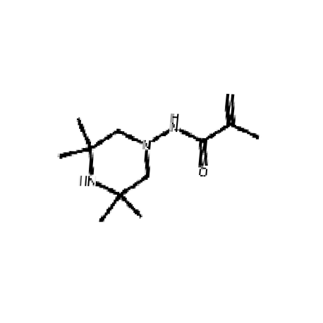 C=C(C)C(=O)NN1CC(C)(C)NC(C)(C)C1